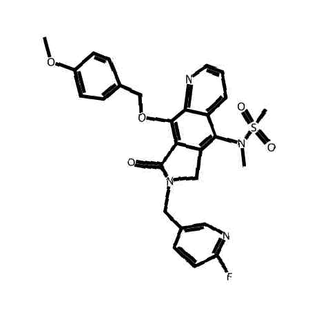 COc1ccc(COc2c3c(c(N(C)S(C)(=O)=O)c4cccnc24)CN(Cc2ccc(F)nc2)C3=O)cc1